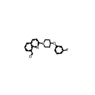 O=Cc1cccc2ccc(N3CCC(Oc4cccc(F)c4)CC3)nc12